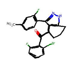 O=C(O)c1ccc(-c2n[nH]c3c2C(C(=O)c2c(F)cccc2Br)CCC3)c(F)c1